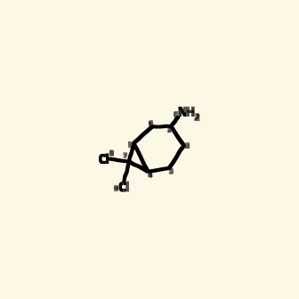 NC1CCC2C(C1)C2(Cl)Cl